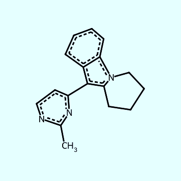 Cc1nccc(-c2c3n(c4ccccc24)CCCC3)n1